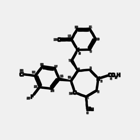 CC(C)(C)C1CN(C(=O)O)C[C@H](Cn2ccccc2=O)[C@H](c2ccc(Cl)c(F)c2)O1